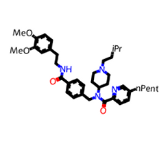 CCCCCc1ccc(C(=O)N(Cc2ccc(C(=O)NCCc3ccc(OC)c(OC)c3)cc2)C2CCN(CCC(C)C)CC2)nc1